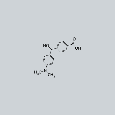 CN(C)c1ccc(C(O)c2ccc(C(=O)O)cc2)cc1